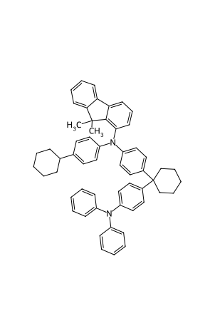 CC1(C)c2ccccc2-c2cccc(N(c3ccc(C4CCCCC4)cc3)c3ccc(C4(c5ccc(N(c6ccccc6)c6ccccc6)cc5)CCCCC4)cc3)c21